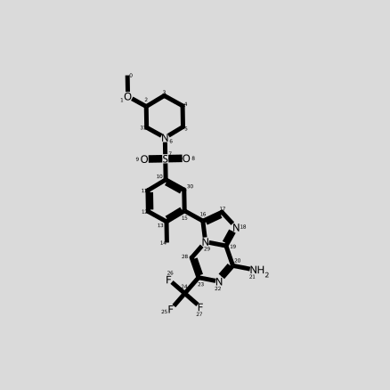 COC1CCCN(S(=O)(=O)c2ccc(C)c(-c3cnc4c(N)nc(C(F)(F)F)cn34)c2)C1